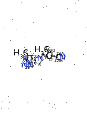 Cc1cc(C2CCCN(Cc3ccc(-c4ccncc4)cc3C)C2)n2ncnc2n1